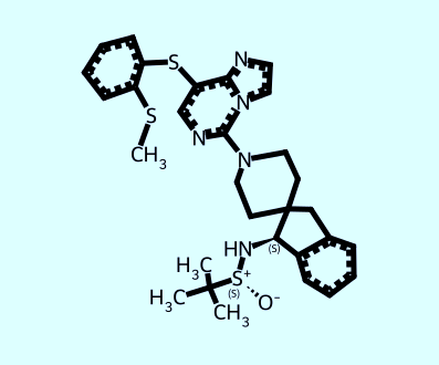 CSc1ccccc1Sc1cnc(N2CCC3(CC2)Cc2ccccc2[C@H]3N[S@+]([O-])C(C)(C)C)n2ccnc12